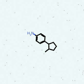 CC1CCCC1c1ccc(N)cc1